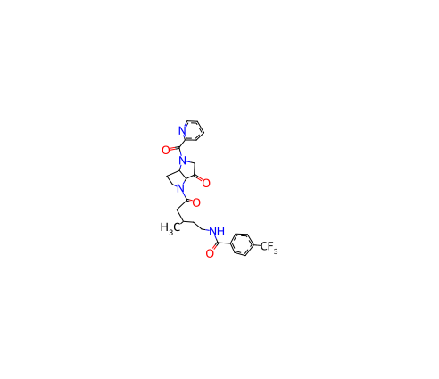 CC(CCNC(=O)c1ccc(C(F)(F)F)cc1)CC(=O)N1CCC2C1C(=O)CN2C(=O)c1ccccn1